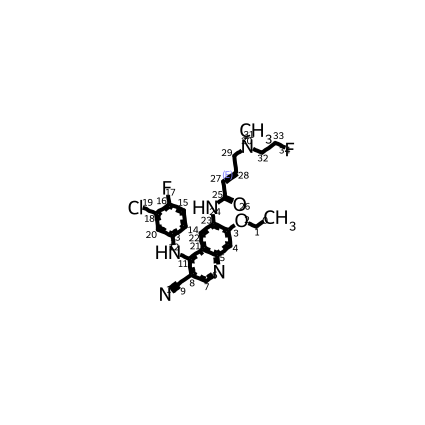 CCOc1cc2ncc(C#N)c(Nc3ccc(F)c(Cl)c3)c2cc1NC(=O)/C=C/CN(C)CCF